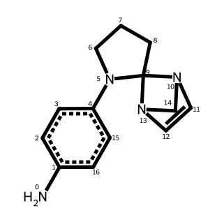 Nc1ccc(N2CCCC23N2C=CN3C2)cc1